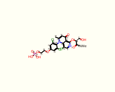 CNC(=O)[C@H](CO)Oc1ncc(Cl)c2c1c(=O)cc(C)n2-c1c(Cl)cc(OCCOP(=O)(O)O)cc1Cl